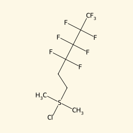 CS(C)(Cl)CCC(F)(F)C(F)(F)C(F)(F)C(F)(F)F